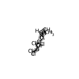 CC(C)(C)OC(=O)N1CCC(COc2c(Cl)cc(O/C=C/C(Cl)Cl)cc2Cl)CC1